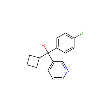 OC(c1ccc(F)cc1)(c1cccnc1)C1CCC1